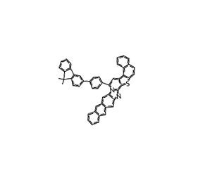 CC1(C)c2ccccc2-c2cc(-c3ccc(-c4cc5c(sc6ccc7ccccc7c65)c5nc6cc7cc8ccccc8cc7cc6n45)cc3)ccc21